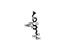 Cl.Cl.O=C(C=Cc1cnc(N[C@@H]2CCCN(CC3CC3)C2)c(Cl)c1)NO